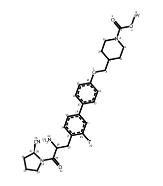 CC(C)OC(=O)N1CCC(COc2ccc(-c3ccc(CC(N)C(=O)N4CCC[C@H]4C#N)c(F)c3)cc2)CC1